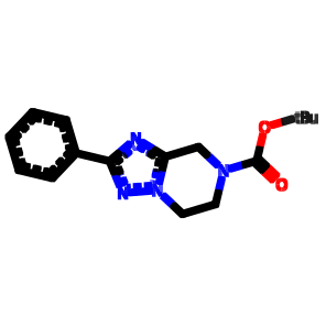 CC(C)(C)OC(=O)N1CCn2nc(-c3ccccc3)nc2C1